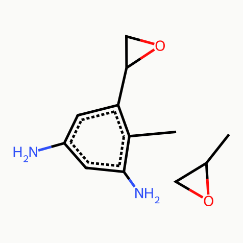 CC1CO1.Cc1c(N)cc(N)cc1C1CO1